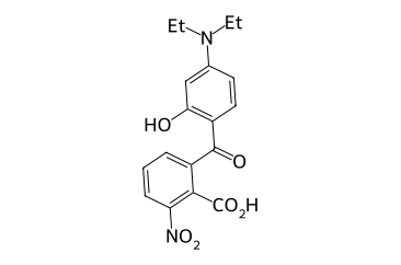 CCN(CC)c1ccc(C(=O)c2cccc([N+](=O)[O-])c2C(=O)O)c(O)c1